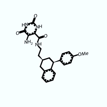 COc1ccc([C@@H]2C[C@H](CCNC(=O)c3[nH]c(=O)[nH]c(=O)c3N)Cc3ccccc32)cc1